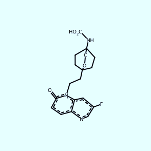 O=C(O)NC12CCC(CCn3c(=O)ccc4ncc(F)cc43)(CC1)OC2